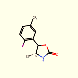 CC[C@H]1NC(=O)OC1c1cc(C(F)(F)F)ccc1I